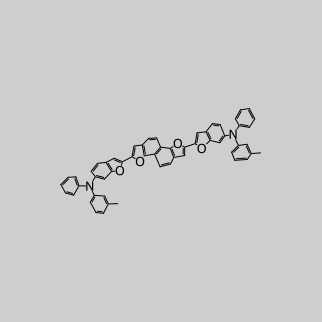 Cc1cccc(N(c2ccccc2)c2ccc3cc(-c4cc5ccc6c(ccc7cc(-c8cc9ccc(N(c%10ccccc%10)c%10cccc(C)c%10)cc9o8)oc76)c5o4)oc3c2)c1